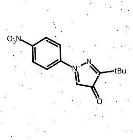 CC(C)(C)C1=N[N+](c2ccc([N+](=O)[O-])cc2)=CC1=O